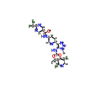 C[C@@H](OC(=O)Nc1c(-c2ccc(NC(=O)c3cnc(C(F)F)nc3)cn2)nnn1C)c1cc(F)cnc1F